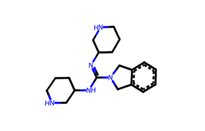 c1ccc2c(c1)CN(/C(=N\C1CCCNC1)NC1CCCNC1)C2